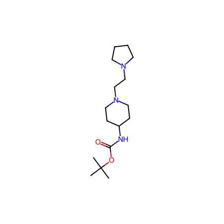 CC(C)(C)OC(=O)NC1CCN(CCN2CCCC2)CC1